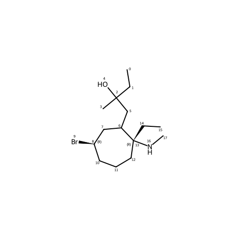 CCC(C)(O)CC1C[C@H](Br)CCC[C@@]1(CC)NC